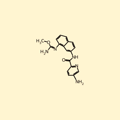 CO/C(N)=N\c1cccc2ccc(NC(=O)c3ccc(N)cn3)cc12